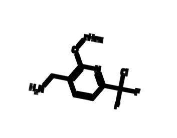 CCCCCCOc1nc(C(F)(F)Cl)ccc1CN